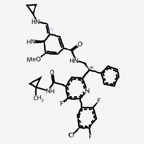 COC1=CC(C(=O)NC[C@@H](c2ccccc2)c2cc(C(=O)NC3(C)CC3)c(F)c(-c3cc(Cl)c(F)cc3F)n2)=C/C(=C/NC2CC2)C1=N